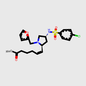 COC(=O)CCC/C=C\[C@@H]1C[C@@H](NS(=O)(=O)c2ccc(Cl)cc2)CN1Cc1ccco1